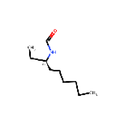 CCCCCC[C@@H](CC)NC=O